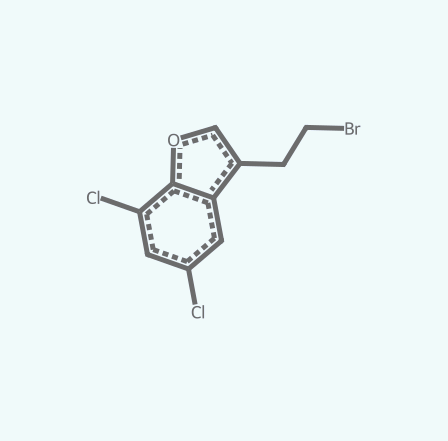 Clc1cc(Cl)c2occ(CCBr)c2c1